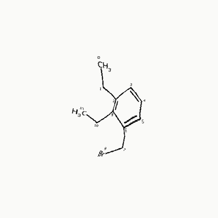 CCc1cccc(CBr)c1CC